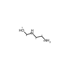 NCCNCO